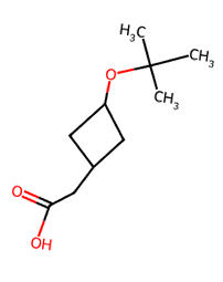 CC(C)(C)OC1CC(CC(=O)O)C1